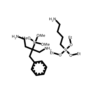 CCO[Si](CCCCN)(OCC)OCC.CO[Si](OC)(OC)C(CN)(CCN)Cc1ccccc1